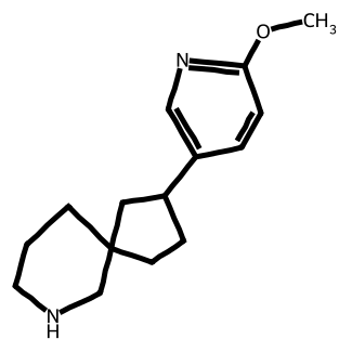 COc1ccc(C2CCC3(CCCNC3)C2)cn1